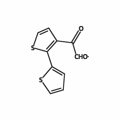 O=[C]C(=O)c1ccsc1-c1cccs1